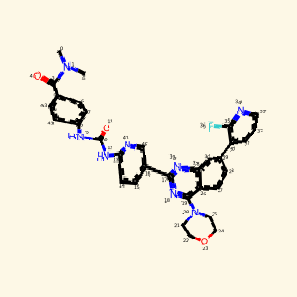 CN(C)C(=O)c1ccc(NC(=O)Nc2ccc(-c3nc(N4CCOCC4)c4ccc(-c5cccnc5F)cc4n3)cn2)cc1